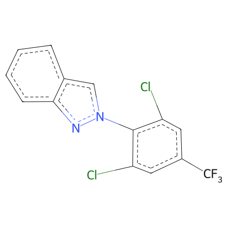 FC(F)(F)c1cc(Cl)c(-n2cc3ccccc3n2)c(Cl)c1